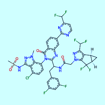 Cn1nc(NS(C)(=O)=O)c2c(Cl)ccc(-n3c(C(Cc4cc(F)cc(F)c4)NC(=O)Cn4nc(C(F)F)c5c4C(F)(F)[C@@H]4C[C@H]54)nc4cc(-c5nccc(C(F)F)n5)ccc4c3=O)c21